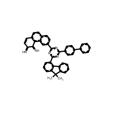 CC1(C)c2ccccc2-c2c(-c3nc(-c4ccc(-c5ccccc5)cc4)nc(-c4ccc5ccc6c(c5c4)C(=N)C(=N)C=C6)n3)cccc21